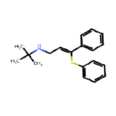 CC(C)(C)NC/C=C(\Sc1ccccc1)c1ccccc1